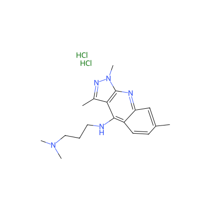 Cc1ccc2c(NCCCN(C)C)c3c(C)nn(C)c3nc2c1.Cl.Cl